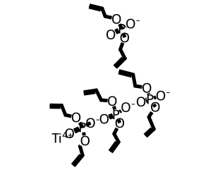 C=CCOP(=O)([O-])OCC=C.C=CCOP(=O)([O-])OCC=C.C=CCOP(=O)([O-])OCC=C.C=CCOP(=O)([O-])OCC=C.[Ti+4]